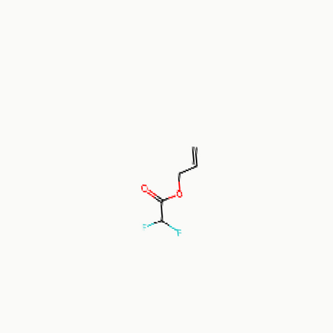 C=CCOC(=O)C(F)F